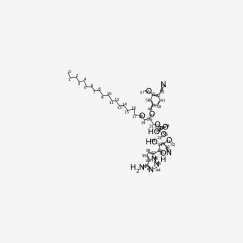 CCCCCCCCCCCCCCCCCCOC[C@H](COP(=O)(O)OC[C@@](C#N)(OC)[C@@H](O)[C@@H](O)c1ccc2c(N)ncnn12)OCc1ccc(C#N)c(OC)c1